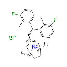 Cc1c(F)cccc1C(=C[C@H]1C[C@H]2CC[C@@H](C1)[N+]2(C)C)c1cccc(F)c1C.[Br-]